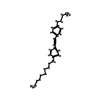 CCCCCCCCOc1ccc(C#Cc2ccc(CCCC)cc2)nc1